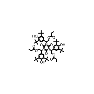 CCC(=O)OCC(c1cc(C(C)(C)C)c(O)c(C(C)(C)C)c1)n1c(=O)n(C(COC(=O)CC)c2cc(C(C)(C)C)c(O)c(C(C)(C)C)c2)c(=O)n(C(COC(=O)CC)c2cc(C(C)(C)C)c(O)c(C(C)(C)C)c2)c1=O